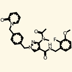 COc1cccc(CNC(=O)c2cn(Cc3ccc(Cn4ccccc4=O)cc3)nc2N(C)C(C)=O)c1F